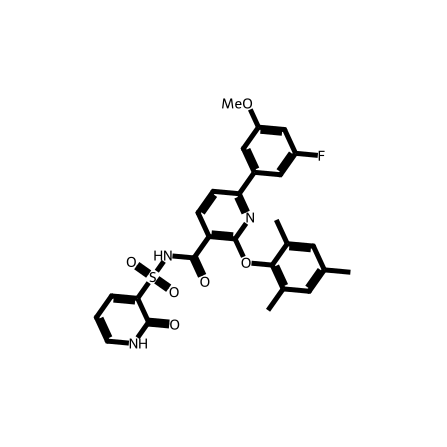 COc1cc(F)cc(-c2ccc(C(=O)NS(=O)(=O)c3ccc[nH]c3=O)c(Oc3c(C)cc(C)cc3C)n2)c1